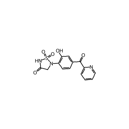 O=C1CN(c2ccc(C(=O)c3ccccn3)cc2O)S(=O)(=O)N1